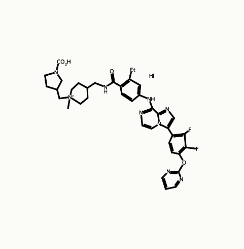 CCc1cc(Nc2nccn3c(-c4ccc(Oc5ncccn5)c(F)c4F)cnc23)ccc1C(=O)NCC1CC[N+](C)(CC2CCN(C(=O)O)C2)CC1.I